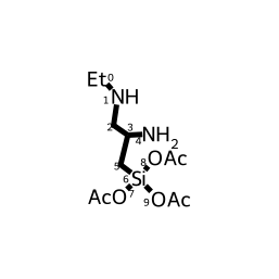 CCNCC(N)C[Si](OC(C)=O)(OC(C)=O)OC(C)=O